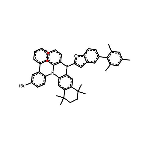 Cc1cc(C)c(-c2ccc3oc(B4c5ccc(C)cc5N(c5ccc(C(C)(C)C)cc5-c5ccccc5)c5cc6c(cc54)C(C)(C)CCC6(C)C)cc3c2)c(C)c1